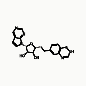 O[C@@H]1[C@H](O)[C@@H](CCc2ccc3c(c2)N=CNS3)O[C@H]1n1ccc2cncnc21